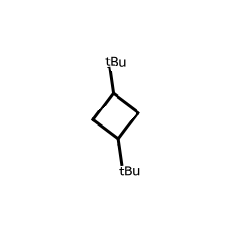 CC(C)(C)C1CC(C(C)(C)C)C1